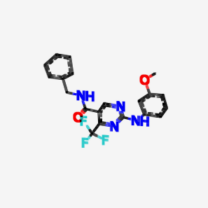 COc1cccc(Nc2ncc(C(=O)NCc3ccccc3)c(C(F)(F)F)n2)c1